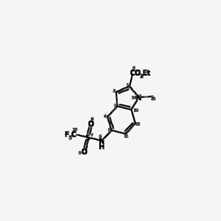 CCOC(=O)c1cc2cc(NS(=O)(=O)C(F)(F)F)ccc2n1C